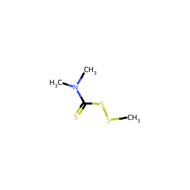 CSSC(=S)N(C)C